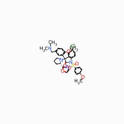 CCN(C)Cc1ccc(OC)c(C2(N3CCC[C@H]3c3ncco3)C(=O)N(S(=O)(=O)c3ccc(OC)cc3)c3ccc(Cl)cc32)c1